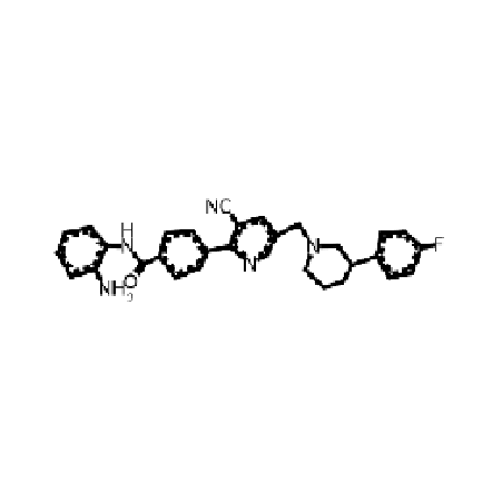 N#Cc1cc(CN2CCCC(c3ccc(F)cc3)C2)cnc1-c1ccc(C(=O)Nc2ccccc2N)cc1